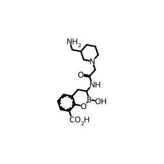 NCC1CCCN(CC(=O)NC2Cc3cccc(C(=O)O)c3OB2O)C1